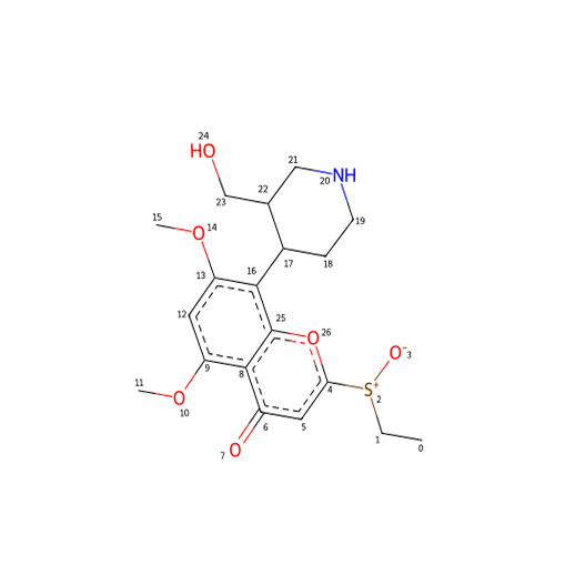 CC[S+]([O-])c1cc(=O)c2c(OC)cc(OC)c(C3CCNCC3CO)c2o1